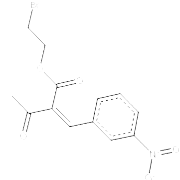 CC(=O)C(=Cc1cccc([N+](=O)[O-])c1)C(=O)OCCBr